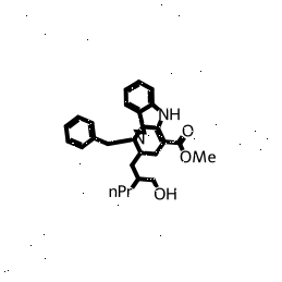 CCCC(CO)CC1CC(C(=O)OC)=C2Nc3ccccc3C23CCN(Cc2ccccc2)C13